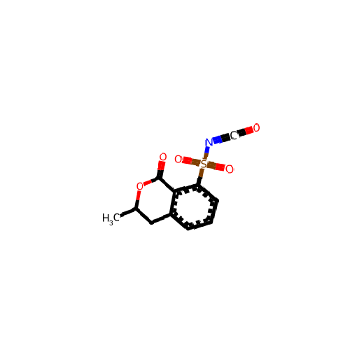 CC1Cc2cccc(S(=O)(=O)N=C=O)c2C(=O)O1